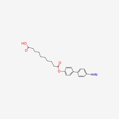 N#Cc1ccc(-c2ccc(OC(=O)CCCCCCCCC(=O)O)cc2)cc1